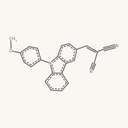 COc1ccc(-n2c3ccccc3c3cc(C=C(C#N)C#N)ccc32)cc1